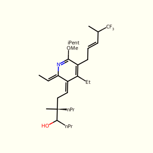 C/C=c1\nc(OC)c(C/C(=C/C(C)C(F)(F)F)[C@H](C)CCC)c(CC)\c1=C\C[C@](C)(CCC)C(O)CCC